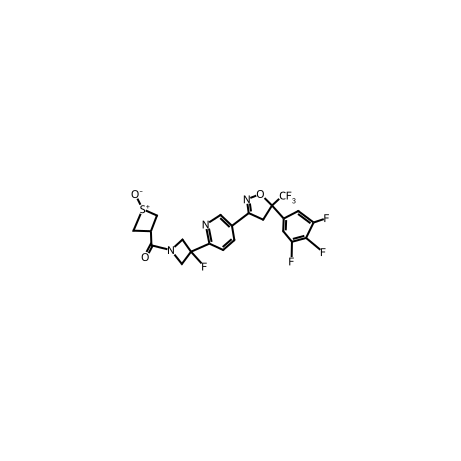 O=C(C1C[S+]([O-])C1)N1CC(F)(c2ccc(C3=NOC(c4cc(F)c(F)c(F)c4)(C(F)(F)F)C3)cn2)C1